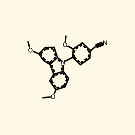 COc1ccc2c(c1)c1cc(OC)ccc1n2-c1ccc(C#N)cc1OC